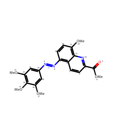 COC(=O)c1ccc2c(/N=N/c3cc(OC)c(OC)c(OC)c3)ccc(OC)c2n1